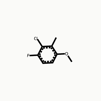 COc1ccc(F)c(Cl)c1C